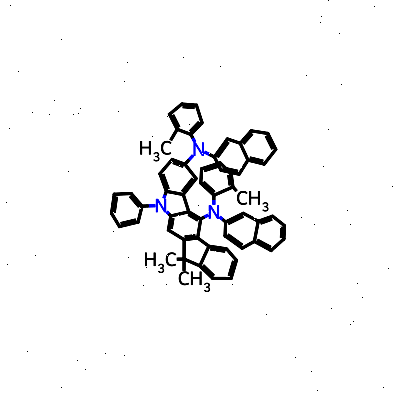 Cc1ccccc1N(c1ccc2ccccc2c1)c1ccc2c(c1)c1c(N(c3ccc4ccccc4c3)c3ccccc3C)c3c(cc1n2-c1ccccc1)C(C)(C)c1ccccc1-3